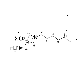 CC(C)CCCCN1CC(O)(CN)C1